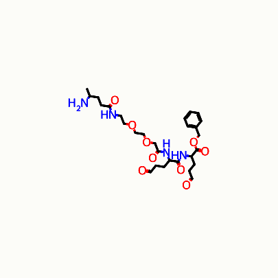 CC(N)CCC(=O)NCCOCCOCC(=O)NC(CCC=O)C(=O)NC(CCC=O)C(=O)OCc1ccccc1